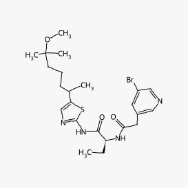 CC[C@H](NC(=O)Cc1cncc(Br)c1)C(=O)Nc1ncc(C(C)CCCC(C)(C)OC)s1